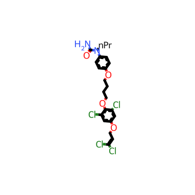 CCCN(C(N)=O)c1ccc(OCCCCOc2c(Cl)cc(OCC=C(Cl)Cl)cc2Cl)cc1